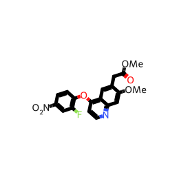 COC(=O)Cc1cc2c(Oc3ccc([N+](=O)[O-])cc3F)ccnc2cc1OC